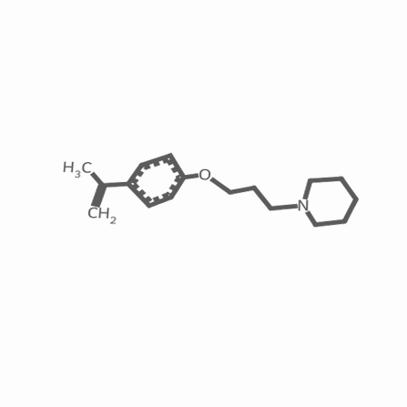 C=C(C)c1ccc(OCCCN2CCCCC2)cc1